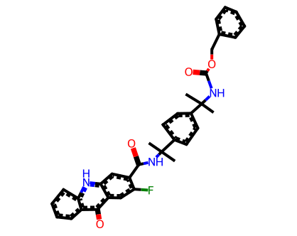 CC(C)(NC(=O)OCc1ccccc1)c1ccc(C(C)(C)NC(=O)c2cc3[nH]c4ccccc4c(=O)c3cc2F)cc1